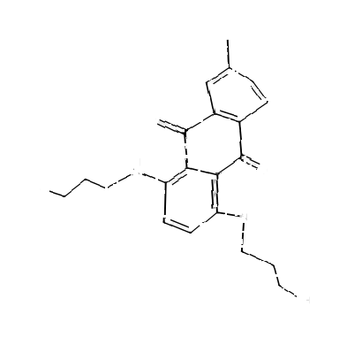 Cc1ccc2c(c1)C(=O)c1c(NCCCO)ccc(NCCCO)c1C2=O